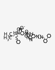 CC(C)CCC(CSc1ccccc1)Nc1ccc(S(=O)(=O)Nc2ncnc3cc(N4CCN(Cc5ccccc5-c5ccccc5)CC4)ccc23)cc1[N+](=O)[O-]